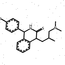 CC(CC1C(=S)NC(c2ccc(Cl)cc2)c2ccccc21)CN(C)C